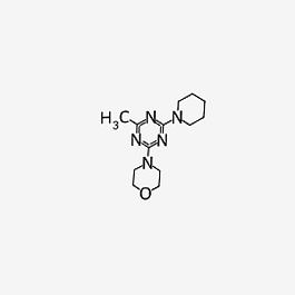 Cc1nc(N2CCCCC2)nc(N2CCOCC2)n1